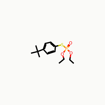 CCOP(=O)(OCC)Sc1ccc(C(C)(C)C)cc1